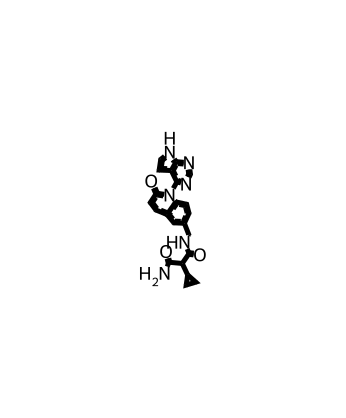 NC(=O)C(C(=O)NCc1ccc2c(ccc(=O)n2-c2ncnc3[nH]ccc23)c1)C1CC1